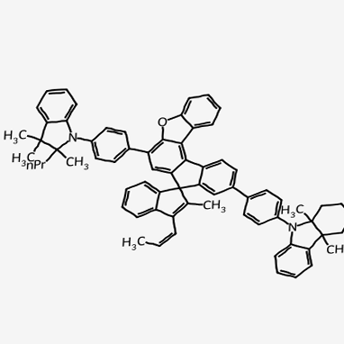 C/C=C\C1=C(C)C2(c3ccccc31)c1cc(-c3ccc(N4c5ccccc5C5(C)CCCCC45C)cc3)ccc1-c1c2cc(-c2ccc(N3c4ccccc4C(C)(C)C3(C)CCC)cc2)c2oc3ccccc3c12